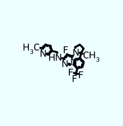 Cc1ccc(CNc2ncnc(N3CCCC3(C)c3ccc(C(F)(F)F)cc3)c2F)cn1